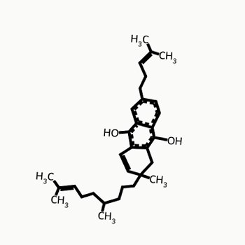 CC(C)=CCCc1ccc2c(O)c3c(c(O)c2c1)C=CC(C)(CCCC(C)CCC=C(C)C)C3